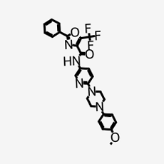 COc1ccc(N2CCN(c3ccc(NC(=O)c4nc(-c5ccccc5)oc4C(F)(F)F)cn3)CC2)cc1